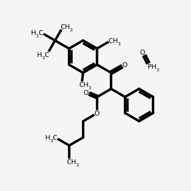 Cc1cc(C(C)(C)C)cc(C)c1C(=O)C(C(=O)OCCC(C)C)c1ccccc1.O=[PH3]